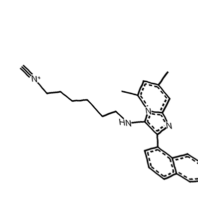 C#[N+]CCCCCCNc1c(-c2cccc3ccccc23)nc2cc(C)cc(C)n12